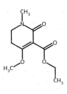 CCOC(=O)C1=C(OC)CCN(C)C1=O